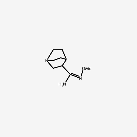 CO/N=C(/N)C1CN2CCC1CC2